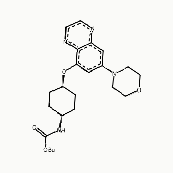 CC(C)COC(=O)N[C@H]1CC[C@@H](Oc2cc(N3CCOCC3)cc3nccnc23)CC1